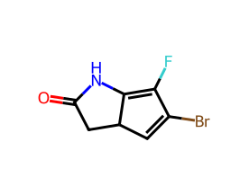 O=C1CC2C=C(Br)C(F)=C2N1